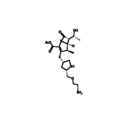 CC(=O)OC(=O)C1=C(S[C@@H]2CN[C@H](COCCN)C2)[C@H](C)[C@@H]2[C@@H]([C@@H](C)O)C(=O)N12